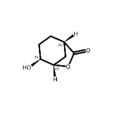 O=C1O[C@H]2C[C@@H]1CC[C@@H]2O